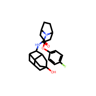 O=C(NC1C2CC3CC1CC(O)(C3)C2)N1C2CCC1CC(Oc1ccc(F)cc1)C2